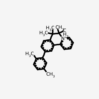 Cc1ccc(C)c(-c2ccc3c(c2)-c2cccc[n+]2C(C)(C)C3(C)C)c1